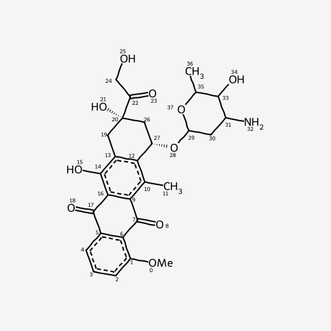 COc1cccc2c1C(=O)c1c(C)c3c(c(O)c1C2=O)C[C@@](O)(C(=O)CO)C[C@@H]3OC1CC(N)C(O)C(C)O1